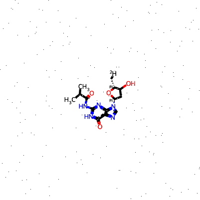 [2H]C[C@H]1O[C@@H](n2cnc3c(=O)[nH]c(NC(=O)C(C)C)nc32)CC1O